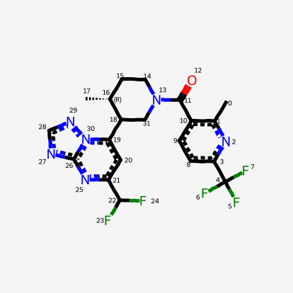 Cc1nc(C(F)(F)F)ccc1C(=O)N1CC[C@@H](C)C(c2cc(C(F)F)nc3ncnn23)C1